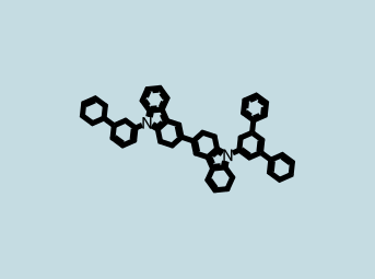 C1=CC(C2CC=CCC2)CC(n2c3c(c4ccccc42)C=C(C2=Cc4c5c(n(C6=CC(C7=CCCC=C7)=CC(c7ccccc7)C6)c4CC2)CCC=C5)CC3)=C1